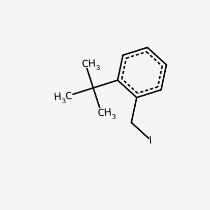 CC(C)(C)c1ccccc1CI